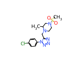 CC1CN(S(C)(=O)=O)CCN1Cc1nnnn1-c1ccc(Cl)cc1